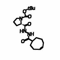 CC(C)(C)OC(=O)N1CCC[C@H]1C(=O)NNC(=O)C1CC/C=C\CCC1